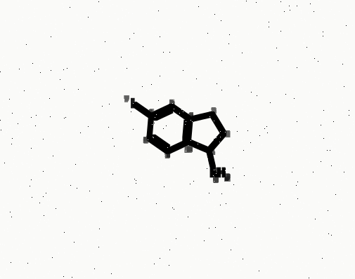 NC1CCc2cc(I)ccc21